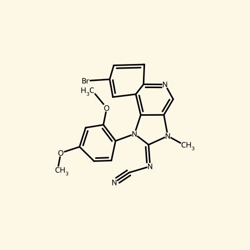 COc1ccc(-n2/c(=N\C#N)n(C)c3cnc4ccc(Br)cc4c32)c(OC)c1